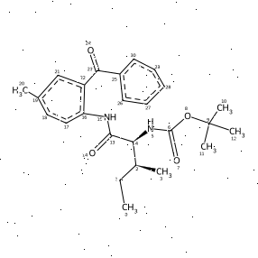 CC[C@H](C)[C@H](NC(=O)OC(C)(C)C)C(=O)Nc1ccc(C)cc1C(=O)c1ccccc1